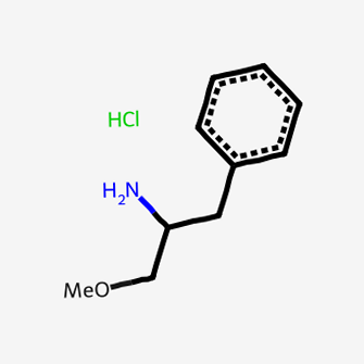 COCC(N)Cc1ccccc1.Cl